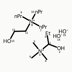 CCC(O)[N+](C)(C)C.CCC[N+](CCC)(CCC)CCO.[OH-].[OH-]